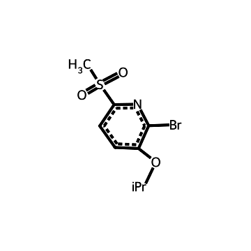 CC(C)Oc1ccc(S(C)(=O)=O)nc1Br